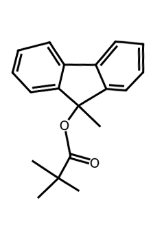 CC(C)(C)C(=O)OC1(C)c2ccccc2-c2ccccc21